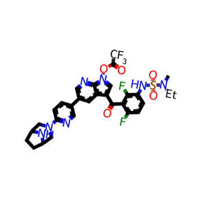 CCN(C)S(=O)(=O)Nc1ccc(F)c(C(=O)c2cn(OC(=O)C(F)(F)F)c3ncc(-c4ccc(N5CC6CCC(C5)N6)nc4)cc23)c1F